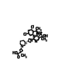 C[C@@H](Nc1nc(N2CC([C@H]3CCCN([C@H]4C[C@](C)(C(=O)O)C4)C3)C2)ncc1C(C)(C)O)c1ccc(Cl)cc1Cl